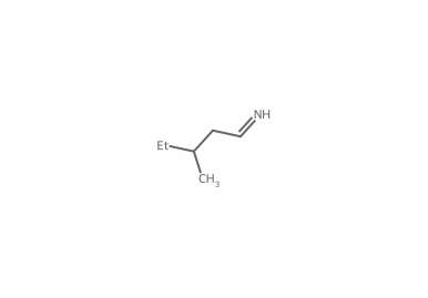 CCC(C)CC=N